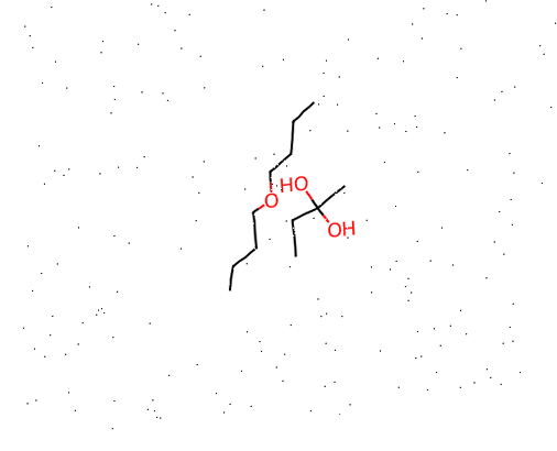 CCC(C)(O)O.CCCCOCCCC